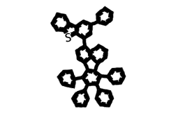 c1ccc(-c2cc(-c3ccc4c5c(cccc35)-c3c(-c5ccccc5)c(-c5ccccc5)c(-c5ccccc5)c(-c5ccccc5)c3-4)c3sc4ccccc4c3c2)cc1